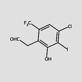 O=CCc1c(C(F)(F)F)cc(Cl)c(I)c1O